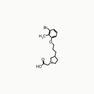 Cc1c(Br)cccc1OCCCC1CCN(CC(=O)O)C1